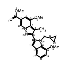 COC(=O)c1cc(OC)c2c(C)c(-c3cc4cccc(OC)c4n3CC3CC3)nn2c1